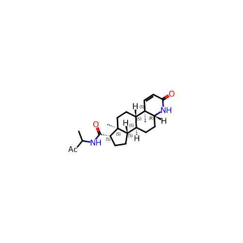 CC(=O)C(C)NC(=O)[C@H]1CC[C@H]2[C@@H]3CC[C@H]4NC(=O)C=C[C@]4(C)[C@H]3CC[C@]12C